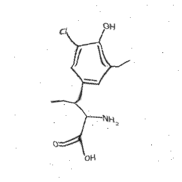 Cc1cc(C(C)C(N)C(=O)O)cc(Cl)c1O